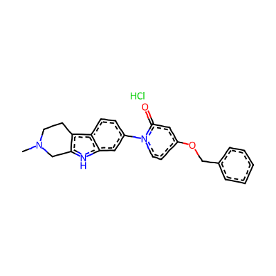 CN1CCc2c([nH]c3cc(-n4ccc(OCc5ccccc5)cc4=O)ccc23)C1.Cl